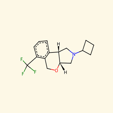 FC(F)(F)c1cccc2c1CO[C@H]1CN(C3CCC3)C[C@@H]21